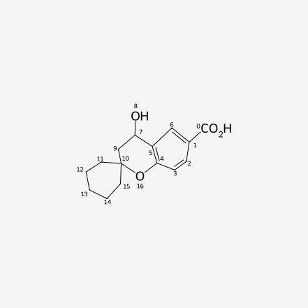 O=C(O)c1ccc2c(c1)C(O)CC1(CCCCC1)O2